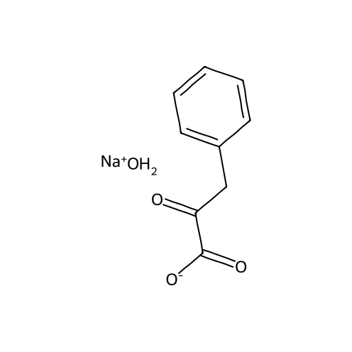 O.O=C([O-])C(=O)Cc1ccccc1.[Na+]